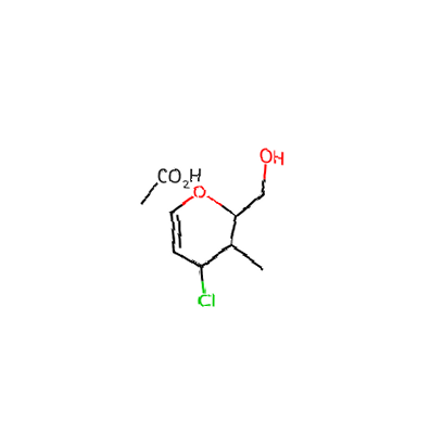 CC(=O)O.CC1C(Cl)C=COC1CO